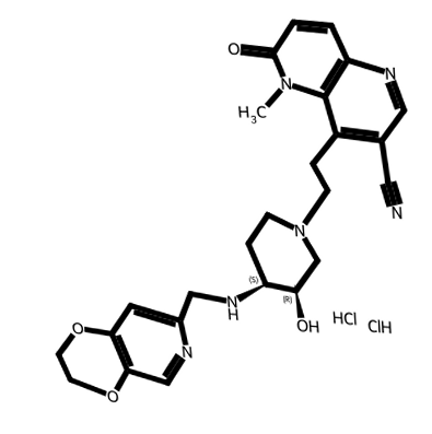 Cl.Cl.Cn1c(=O)ccc2ncc(C#N)c(CCN3CC[C@H](NCc4cc5c(cn4)OCCO5)[C@H](O)C3)c21